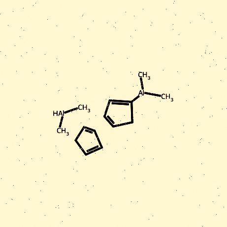 C1=CCC=C1.[CH3][AlH][CH3].[CH3][Al]([CH3])[C]1=CC=CC1